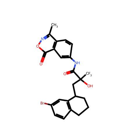 Cc1noc(=O)c2cc(NC(=O)C(O)(CC3CCCc4ccc(Br)cc43)C(F)(F)F)ccc12